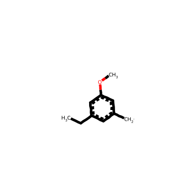 [CH2]c1cc(CC)cc(OC)c1